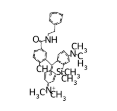 Cc1ccc(C(=O)NCCc2ccccc2)cc1C1=C2C=CC(=[N+](C)C)C=C2[Si](C)(C)c2cc(N(C)C)ccc21